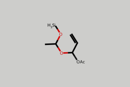 C=CC(OC(C)=O)OC(C)O[SiH3]